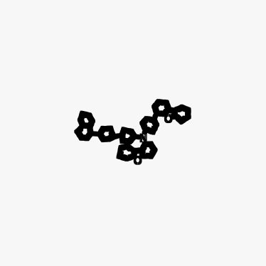 c1ccc2c(-c3ccc(-c4ccc(N(c5ccc(-c6cccc7c6oc6ccccc67)cc5)c5cccc6oc7ccccc7c56)cc4)cc3)cccc2c1